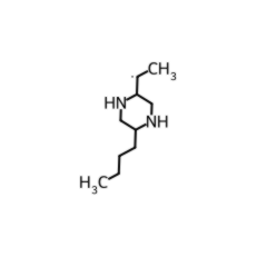 C[CH]C1CNC(CCCC)CN1